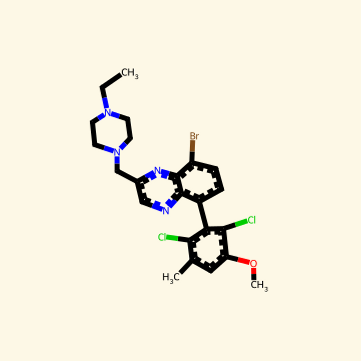 CCN1CCN(Cc2cnc3c(-c4c(Cl)c(C)cc(OC)c4Cl)ccc(Br)c3n2)CC1